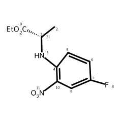 CCOC(=O)[C@H](C)Nc1ccc(F)cc1[N+](=O)[O-]